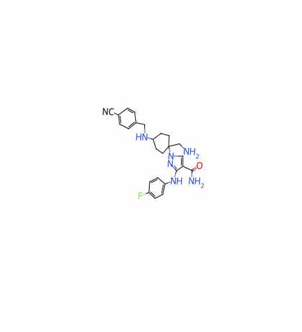 N#Cc1ccc(CNC2CCC(CN)(n3cc(C(N)=O)c(Nc4ccc(F)cc4)n3)CC2)cc1